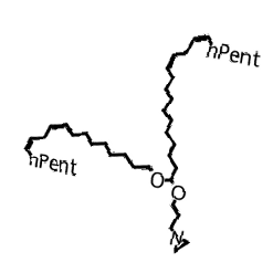 CCCCC/C=C\C/C=C\CCCCCCCCCC(OCCCCCCCC/C=C\C/C=C\CCCCC)OCCCN1CC1